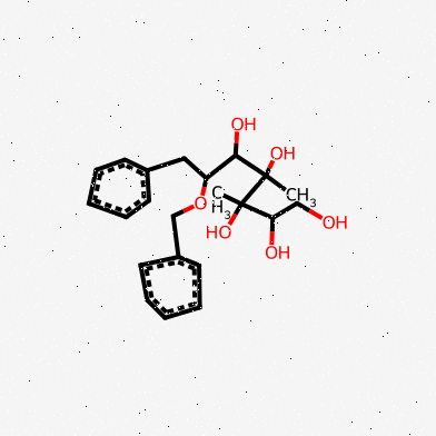 CC(O)(C(O)CO)C(C)(O)C(O)C(Cc1ccccc1)OCc1ccccc1